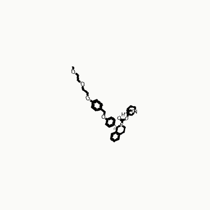 COCCOCCOc1ccc(COc2ccc([C@H]3c4ccccc4CCN3C(=O)O[C@@H]3CN4CCC3CC4)cc2)cc1